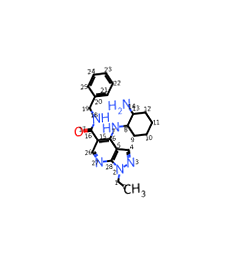 CCn1ncc2c(NC3CCCCC3N)c(C(=O)NCc3ccccc3)cnc21